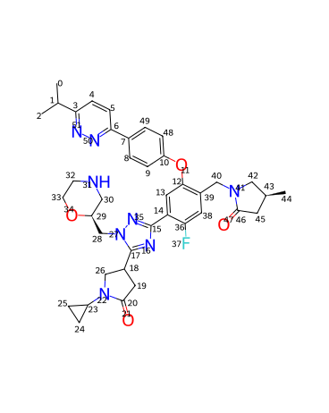 CC(C)c1ccc(-c2ccc(Oc3cc(-c4nc(C5CC(=O)N(C6CC6)C5)n(C[C@@H]5CNCCO5)n4)c(F)cc3CN3C[C@@H](C)CC3=O)cc2)nn1